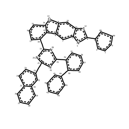 c1ccc(-c2nc3cc4c(cc3s2)oc2cccc(-c3nc(-c5ccc6ccccc6c5)nc(-c5ccccc5-c5ccccc5)n3)c24)cc1